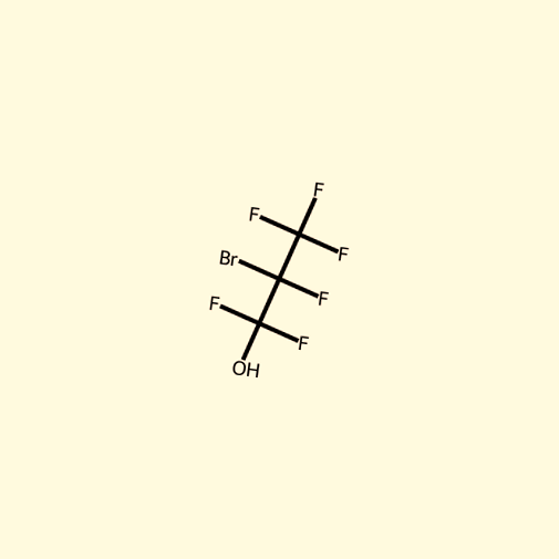 OC(F)(F)C(F)(Br)C(F)(F)F